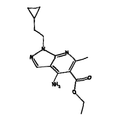 CCOC(=O)c1c(C)nc2c(cnn2CCC2CC2)c1N